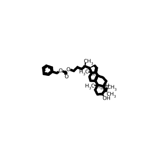 C[C@H](CCCOC(=O)OCc1ccccc1)[C@H]1CC=C2C3=C(CC[C@@]21C)[C@@]1(C)CC[C@H](O)C(C)(C)[C@@H]1CC3